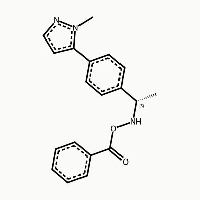 C[C@H](NOC(=O)c1ccccc1)c1ccc(-c2ccnn2C)cc1